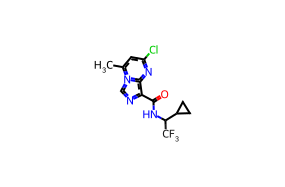 Cc1cc(Cl)nc2c(C(=O)NC(C3CC3)C(F)(F)F)ncn12